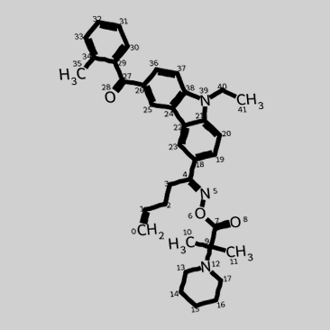 C=CCC/C(=N\OC(=O)C(C)(C)N1CCCCC1)c1ccc2c(c1)c1cc(C(=O)c3ccccc3C)ccc1n2CC